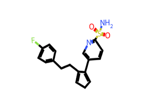 NS(=O)(=O)c1ccc(C2=CCC=C2CCc2ccc(F)cc2)cn1